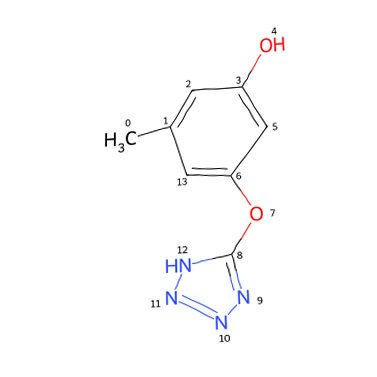 Cc1cc(O)cc(Oc2nnn[nH]2)c1